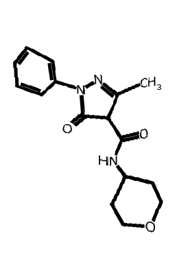 CC1=NN(c2ccccc2)C(=O)C1C(=O)NC1CCOCC1